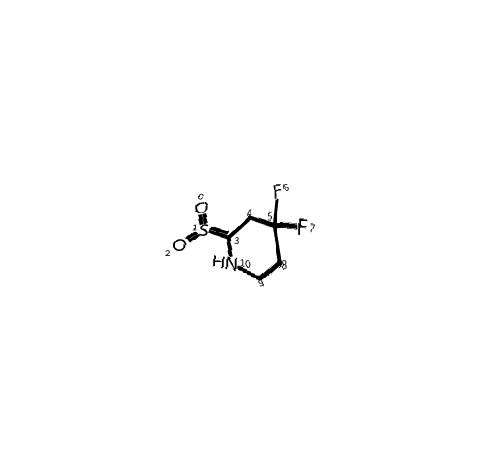 O=S(=O)=C1CC(F)(F)CCN1